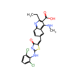 CCc1nc2ccc(C=C3SC(Nc4c(Cl)cccc4Cl)=NC3=O)cc2c(NC)c1C(=O)O